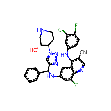 N#Cc1cnc2c(Cl)cc(NC(c3ccccc3)c3cn([C@@H]4CCNC[C@H]4O)nn3)cc2c1Nc1ccc(F)c(Cl)c1